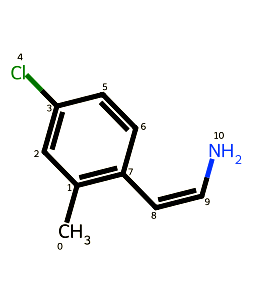 Cc1cc(Cl)ccc1/C=C\N